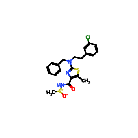 Cc1sc(N(CCc2cccc(Cl)c2)Cc2ccccc2)nc1C(=O)N[S+](C)[O-]